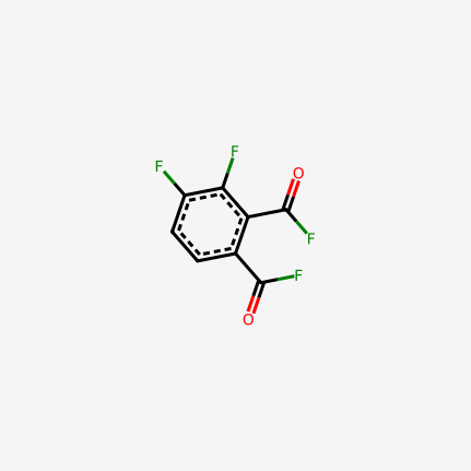 O=C(F)c1ccc(F)c(F)c1C(=O)F